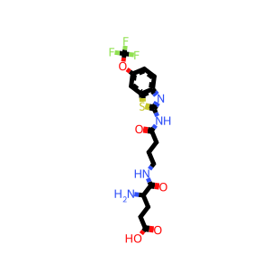 NC(CCC(=O)O)C(=O)NCCCC(=O)Nc1nc2ccc(OC(F)(F)F)cc2s1